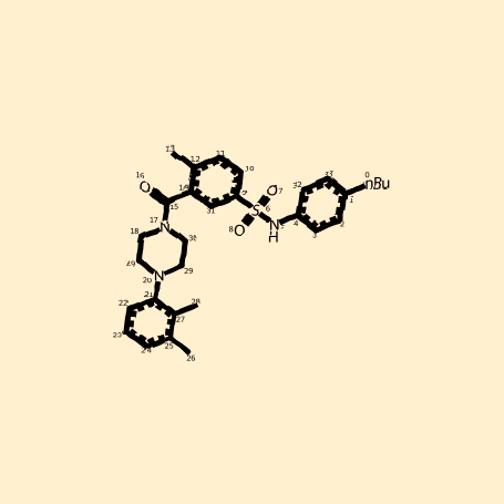 CCCCc1ccc(NS(=O)(=O)c2ccc(C)c(C(=O)N3CCN(c4cccc(C)c4C)CC3)c2)cc1